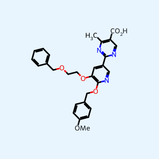 COc1ccc(COc2ncc(-c3ncc(C(=O)O)c(C)n3)cc2OCCOCc2ccccc2)cc1